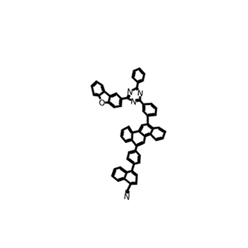 N#Cc1ccc(-c2ccc(-c3cc4c5ccccc5c(-c5cccc(-c6nc(-c7ccccc7)nc(-c7ccc8oc9ccccc9c8c7)n6)c5)cc4c4ccccc34)cc2)c2ccccc12